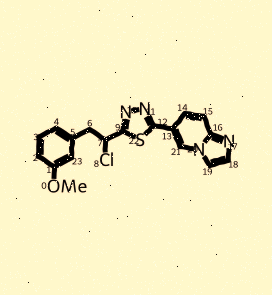 COc1cccc(CC(Cl)c2nnc(-c3ccc4nccn4c3)s2)c1